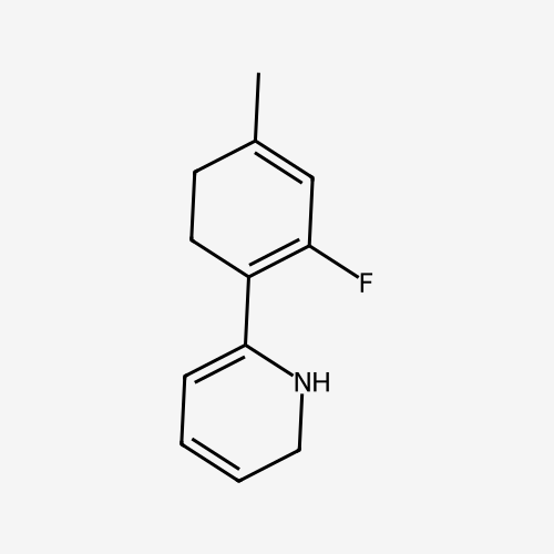 CC1=CC(F)=C(C2=CC=CCN2)CC1